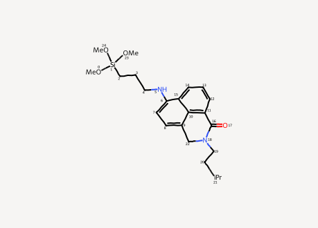 CO[Si](CCCNc1ccc2c3c(cccc13)C(=O)N(CCC(C)C)C2)(OC)OC